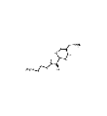 CNCCCNC(=O)C1CCC(CN)CC1